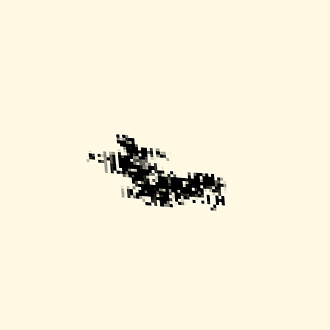 CC(=O)NC1C(O)[C@H](O[C@@H](CO)OC(CO[C@H]2OC(CO)[C@@H](O)C(O)C2O[C@@H]2OC(CO)[C@@H](O[C@@H]3OC(CO)CC(OC4C(O)[C@@H](NC(C)=O)C([C@@H](O)[C@H](O)CO)O[C@H]4C(=O)O)C3O)C(O)C2NC(C)=O)[C@@H](O)CO)C(CO)O[C@H]1O[C@@H]1C(CO)O[C@@H](C)C(NC(C)=O)C1O